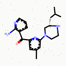 Cc1cc(C(=O)c2cccnc2N)nc(N2CCN[C@@H](CC(C)C)C2)c1